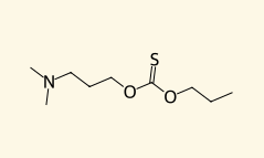 CCCOC(=S)OCCCN(C)C